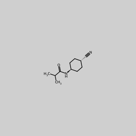 CC(C)C(=O)N[C@H]1CC[C@H](C#N)CC1